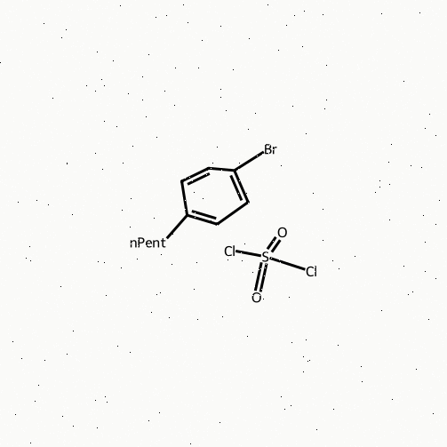 CCCCCc1ccc(Br)cc1.O=S(=O)(Cl)Cl